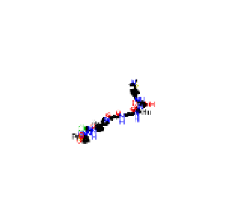 Cc1cc(Nc2ncc(Cl)c(Nc3ccccc3S(=O)(=O)C(C)C)n2)c(OC(C)C)cc1C1CCN(C(=O)CCCC(=O)NCCCCC(=O)N[C@H](C(=O)N2C[C@H](O)C[C@H]2C(=O)NCc2ccc(-c3scnc3C)cc2)C(C)(C)C)CC1